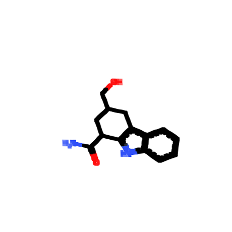 NC(=O)C1CC(CO)Cc2c1[nH]c1ccccc21